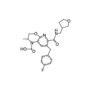 CC1COc2nc(C(=O)NCC3CCOC3)c(Cc3ccc(F)cc3)cc2N1C(=O)O